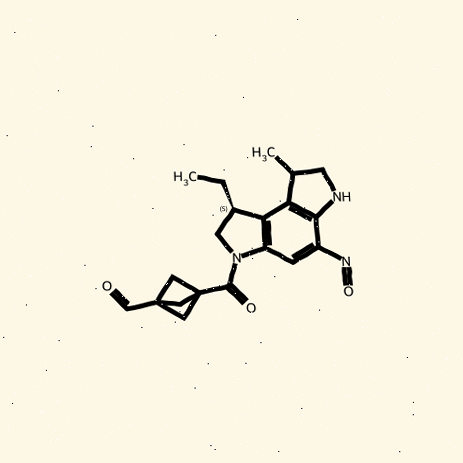 CC[C@@H]1CN(C(=O)C23CC(C=O)(C2)C3)c2cc(N=O)c3c(c21)C(C)CN3